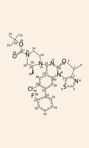 CC(C)c1ncsc1-n1c(=O)nc(N2CCN(C(=O)OC(C)(C)C)C[C@@H]2C)c2cc(Cl)c(-c3ccccc3F)cc21